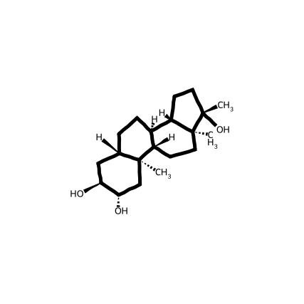 C[C@]12C[C@H](O)[C@@H](O)C[C@@H]1CC[C@@H]1[C@@H]2CC[C@@]2(C)[C@H]1CC[C@]2(C)O